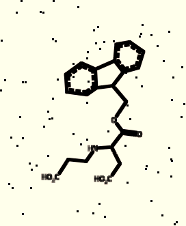 O=C(O)CCNC(CC(=O)O)C(=O)OCC1c2ccccc2-c2ccccc21